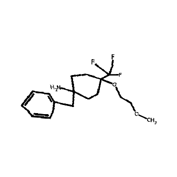 COCCOC1(C(F)(F)F)CCC(N)(Cc2ccccc2)CC1